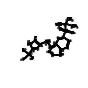 CC(C)(C)S(=O)(=O)c1ccc2ncnc(Nc3cc(C(F)(F)F)[nH]n3)c2c1